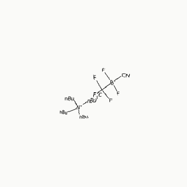 CCCC[N+](CCCC)(CCCC)CCCC.N#C[B-](F)(F)C(F)(F)C(F)(F)F